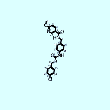 COc1ccc(C(=O)NCc2ccc(NC(=O)OCc3ccc(Cl)cc3)cc2)cn1